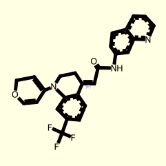 O=C(/C=C1\CCN(C2=CCOC=C2)c2cc(C(F)(F)F)ccc21)Nc1ccc2cccnc2c1